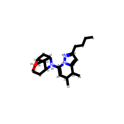 CCCCc1cc2n(n1)C(N1C3CC4CC1CC(C3)O4)=CC(C)C2C